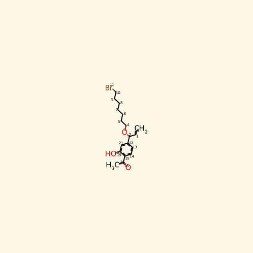 C=CC(OCCCCCCCBr)c1ccc(C(C)=O)c(O)c1